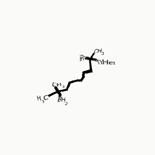 BC(C)(C)CCCCCC(C)(CCCCCC)C(C)C